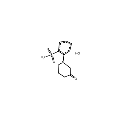 CS(=O)(=O)c1ccccc1N1CCCC(=O)C1.Cl